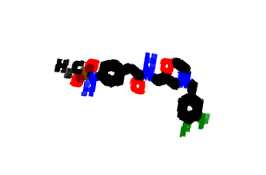 CS(=O)(=O)Nc1ccc(CC(=O)NCC2CN(Cc3ccc(F)c(F)c3)CCO2)cc1